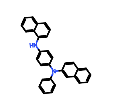 c1ccc(N(c2ccc(Nc3cccc4ccccc34)cc2)c2ccc3ccccc3c2)cc1